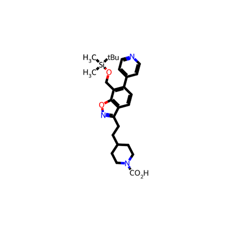 CC(C)(C)[Si](C)(C)OCc1c(-c2ccncc2)ccc2c(CCC3CCN(C(=O)O)CC3)noc12